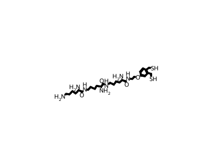 NCCCC[C@H](N)C(=O)NCCCC[C@H](N)C(=O)NCCCC[C@H](N)C(=O)NCCOc1ccc(CS)c(CS)c1